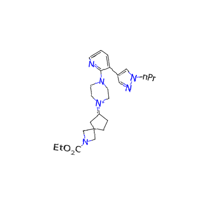 CCCn1cc(-c2cccnc2N2CC[N+](=C3CCC4(C3)CN(C(=O)OCC)C4)CC2)cn1